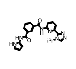 CC(C)n1cnnc1-c1cccc(NC(=O)c2cccc(C(=O)Nc3ccc[nH]3)c2)n1